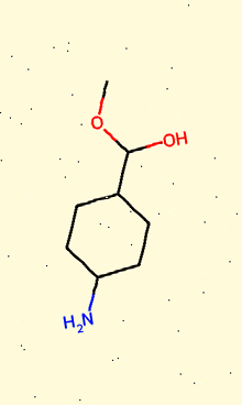 COC(O)C1CCC(N)CC1